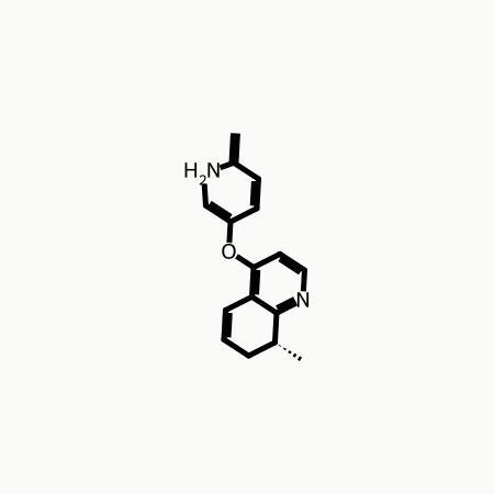 C=C(N)/C=C\C(=C/C)Oc1ccnc2c1C=CC[C@H]2C